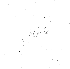 CC(F)(F)C1CCN(C(=O)c2cccc(COc3c(Cl)cccc3Cl)n2)CC1